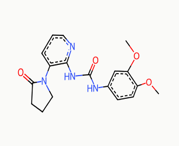 COc1ccc(NC(=O)Nc2ncccc2N2CCCC2=O)cc1OC